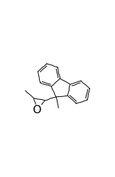 CC1OC1C1(C)c2ccccc2-c2ccccc21